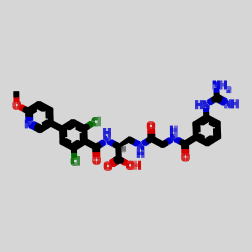 COc1ccc(-c2cc(Cl)c(C(=O)N[C@@H](CNC(=O)CNC(=O)c3cccc(NC(=N)N)c3)C(=O)O)c(Cl)c2)cn1